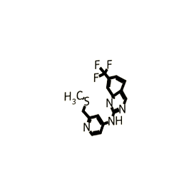 CSCc1cc(Nc2ncc3ccc(C(F)(F)F)cc3n2)ccn1